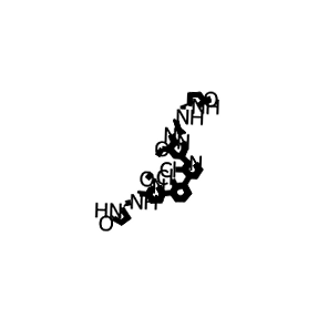 COc1nc(-c2cccc(-c3ccnc(-c4cc(OC)c5nc(CNC[C@H]6CCC(=O)N6)cn5c4)c3Cl)c2Cl)ccc1CNC[C@@H]1CCC(=O)N1